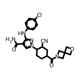 N#CC1CC(C(=O)N2CC3(COC3)C2)CCC1n1cc(C(N)=O)c(Nc2ccc(Cl)cc2)n1